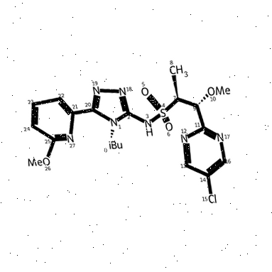 CC[C@@H](C)n1c(NS(=O)(=O)[C@@H](C)[C@H](OC)c2ncc(Cl)cn2)nnc1-c1cccc(OC)n1